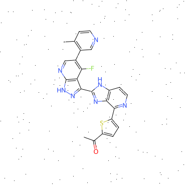 CC(=O)c1ccc(-c2nccc3[nH]c(-c4n[nH]c5ncc(-c6cnccc6C)c(F)c45)nc23)s1